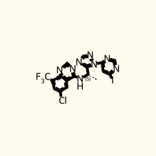 C[C@H](Nc1ncnc2c(C(F)(F)F)cc(Cl)cc12)c1ncnn1-c1cc(I)ncn1